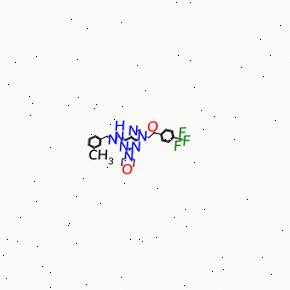 Cc1cccc(C=NNc2nc(N3CCOCC3)nc3c2ncn3CC(=O)c2ccc(C(F)(F)F)cc2)c1